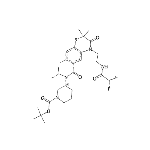 Cc1cc2c(cc1C(=O)N(C(C)C)[C@@H]1CCCN(C(=O)OC(C)(C)C)C1)N(CCNC(=O)C(F)F)C(=O)C(C)(C)S2